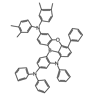 Cc1ccc(N(c2ccc(C)c(C)c2)c2ccc3c(c2)Oc2c(-c4ccccc4)ccc4c2B3c2ccc(N(c3ccccc3)c3ccccc3)cc2N4c2ccccc2)cc1C